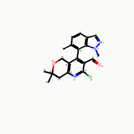 Cc1ccc2cnn(C)c2c1-c1c(C=O)c(Cl)nc2c1COC(C)(C)C2